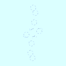 c1ccc2cc(-c3ccc(/C4=N/c5ccncc5/C(c5ccc(-c6ccc7ccccc7c6)cc5)=N\c5ccncc54)cc3)ccc2c1